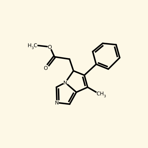 COC(=O)CC1C(c2ccccc2)=C(C)c2cncn21